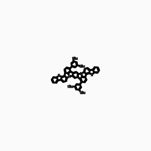 CC(C)(C)c1cc(-c2ccc3c4c5sc6ccccc6c5ccc4n4c5cc6c7c(-c8cc(C(C)(C)C)cc(C(C)(C)C)c8)ccc8c9c%10sc%11ccccc%11c%10ccc9n(c6cc5c2c34)c87)cc(C(C)(C)C)c1